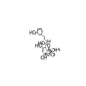 O=P(O)(O)N=C1C=C(O)C=C(O)C1C(O)(O)CCCc1cccc(O)c1